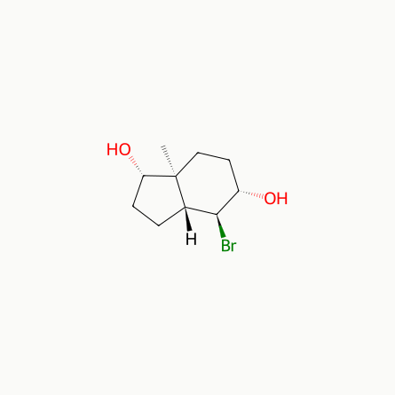 C[C@]12CC[C@H](O)[C@@H](Br)[C@@H]1CC[C@@H]2O